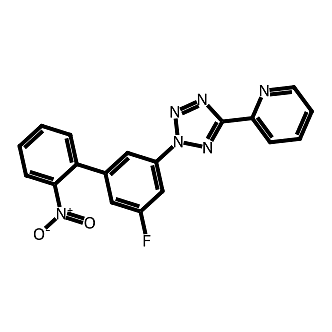 O=[N+]([O-])c1ccccc1-c1cc(F)cc(-n2nnc(-c3ccccn3)n2)c1